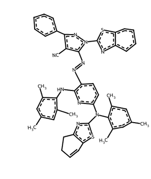 Cc1cc(C)c(Nc2nc(N(c3nc4c(s3)C=CCC4)c3c(C)cc(C)cc3C)ccc2N=Nc2c(C#N)c(-c3ccccc3)nn2-c2nc3ccccc3s2)c(C)c1